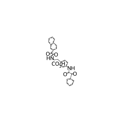 O=C(Nc1ccc(C[C@@H](NS(=O)(=O)c2ccc3ccccc3c2)C(=O)O)cc1)C(=O)c1ccccc1